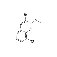 [B]c1cc2cccc(Cl)c2cc1SC